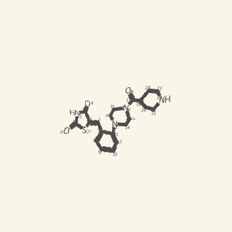 O=C1NC(=O)/C(=C/c2ccccc2N2CCN(C(=O)C3CCNCC3)CC2)S1